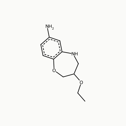 CCOC1CNc2cc(N)ccc2OC1